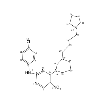 O=[N+]([O-])c1cnc(Nc2ccc(Cl)cc2)nc1N1CCCC(CCCCN2CCCC2)C1